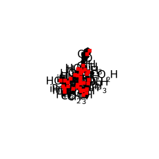 CC[C@H](C)[C@H](NC(=O)[C@H](CO)NC(=O)[C@H](Cc1ccc(O)cc1)NC(=O)[C@H](CC(=O)O)NC(=O)[C@H](CO)NC(=O)[C@@H](NC(=O)[C@H](Cc1ccccc1)NC(=O)[C@@H](NC(=O)CNC(=O)[C@H](CCC(=O)O)NC(=O)C(C)(C)C(=O)NCCCN1C(=O)c2ccccc2C1=O)[C@@H](C)O)[C@@H](C)O)C(=O)N[C@@H](Cc1ccc(O)cc1)C(=O)N[C@@H](CC(C)C)C(=O)N[C@@H](CC(=O)O)C(=O)N[C@H](C)CCCCN